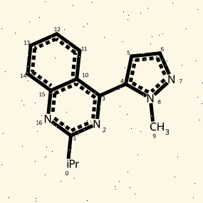 CC(C)c1nc(-c2ccnn2C)c2ccccc2n1